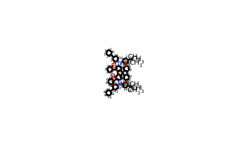 CC(C)(C)c1ccc(N(c2ccc(-c3ccccc3)cc2)c2cc3c(c4c2oc2ccccc24)-c2c(cc(N(c4ccc(-c5ccccc5)cc4)c4ccc(C(C)(C)C)cc4)c4c2oc2ccccc24)C32c3cc(Cl)ccc3-c3ccc(Cl)cc32)cc1